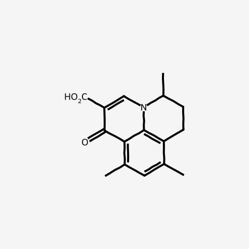 Cc1cc(C)c2c(=O)c(C(=O)O)cn3c2c1CCC3C